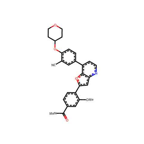 CNC(=O)c1ccc(-c2cc3nccc(-c4ccc(OC5CCOCC5)c(C#N)c4)c3o2)c(OC)c1